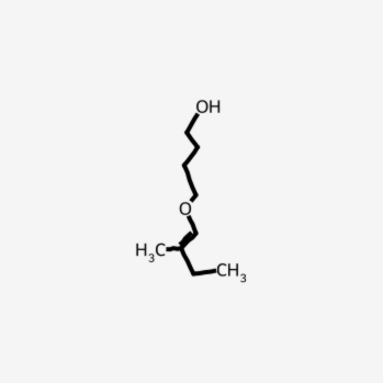 CCC(C)=COCCCCO